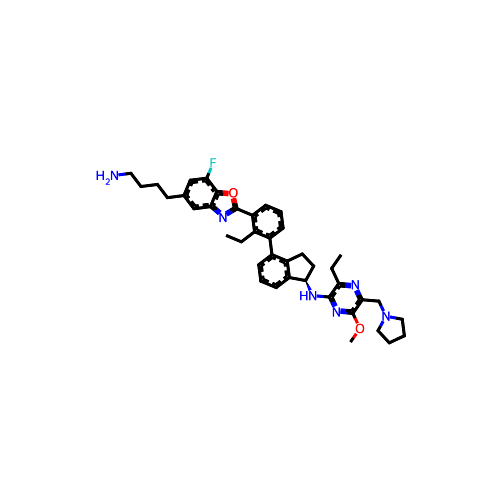 CCc1nc(CN2CCCC2)c(OC)nc1N[C@@H]1CCc2c(-c3cccc(-c4nc5cc(CCCCN)cc(F)c5o4)c3CC)cccc21